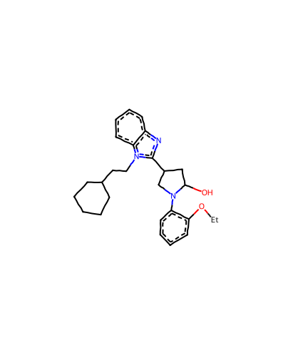 CCOc1ccccc1N1CC(c2nc3ccccc3n2CCC2CCCCC2)CC1O